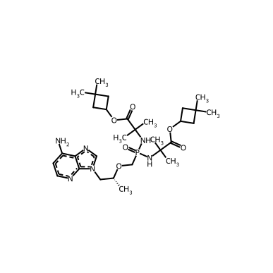 C[C@H](Cn1cnc2c(N)ccnc21)OCP(=O)(NC(C)(C)C(=O)OC1CC(C)(C)C1)NC(C)(C)C(=O)OC1CC(C)(C)C1